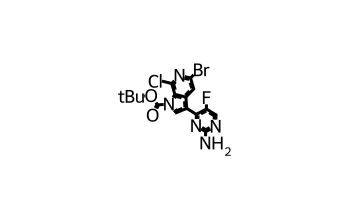 CC(C)(C)OC(=O)n1cc(-c2nc(N)ncc2F)c2cc(Br)nc(Cl)c21